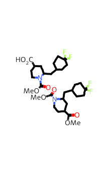 COC(=O)C1CCN(C(=O)OC)C(CC2CCC(F)(F)CC2)C1.COC(=O)N1CCC(C(=O)O)CC1CC1CCC(F)(F)CC1